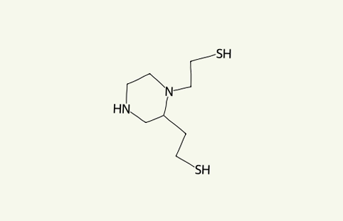 SCCC1CNCCN1CCS